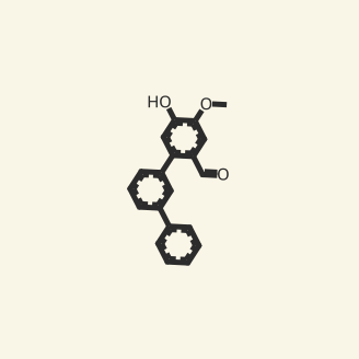 COc1cc(C=O)c(-c2cccc(-c3ccccc3)c2)cc1O